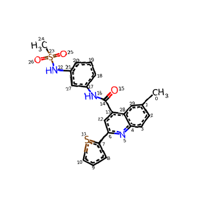 Cc1ccc2nc(-c3cccs3)cc(C(=O)Nc3cccc(NS(C)(=O)=O)c3)c2c1